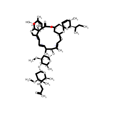 CCC(C)[C@H]1O[C@]2(C=C[C@@H]1C)C[C@@H]1C[C@@H](C/C=C(\C)[C@@H](O[C@H]3C[C@H](OC)[C@@H](O[C@H]4C[C@H](OC)[C@@](C)(NCC(C)=O)[C@H](C)O4)[C@H](C)O3)C(C)/C=C/C=C3\CO[C@@H]4[C@H](O)C(C)=C[C@@H](C(=O)O1)[C@]34O)O2